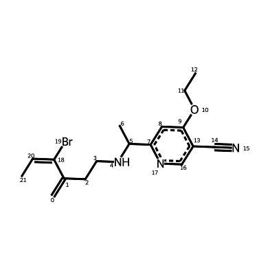 C=C(CCNC(C)c1cc(OCC)c(C#N)cn1)/C(Br)=C\C